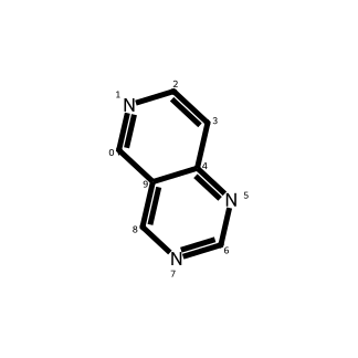 [c]1nccc2ncncc12